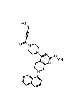 COc1nc2c(c(N3CCN(C(=O)C#CCO)CC3)n1)CCN(c1cccc3ccccc13)C2